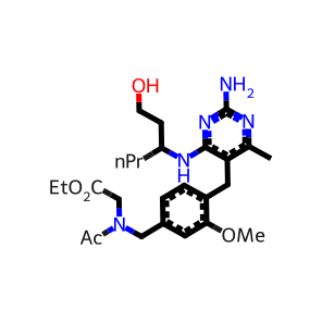 CCCC(CCO)Nc1nc(N)nc(C)c1Cc1ccc(CN(CC(=O)OCC)C(C)=O)cc1OC